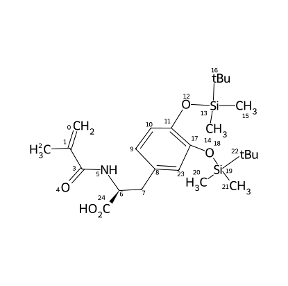 C=C(C)C(=O)N[C@@H](Cc1ccc(O[Si](C)(C)C(C)(C)C)c(O[Si](C)(C)C(C)(C)C)c1)C(=O)O